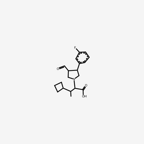 CC(C1CCC1)C(C(=O)O)N1CC(C=O)C(c2cccc(F)c2)C1